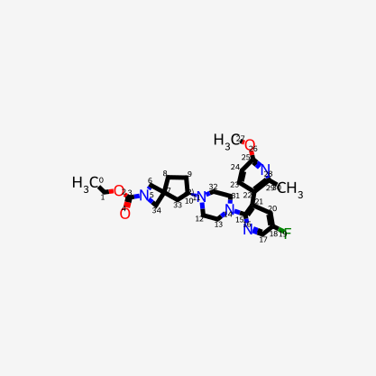 CCOC(=O)N1CC2(CC[C@@H](N3CCN(c4ncc(F)cc4-c4ccc(OC)nc4C)CC3)C2)C1